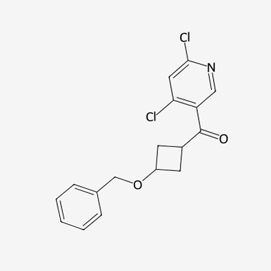 O=C(c1cnc(Cl)cc1Cl)C1CC(OCc2ccccc2)C1